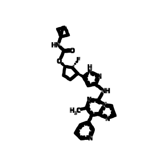 Cc1nc(Nc2cc([C@H]3CC[C@@H](OC(=O)NC45CC(C4)C5)[C@@H]3F)[nH]n2)n2ccnc2c1-c1cccnc1